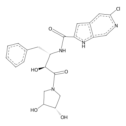 O=C(N[C@@H](Cc1ccccc1)[C@H](O)C(=O)N1CC(O)[C@@H](O)C1)c1cc2cc(Cl)ncc2[nH]1